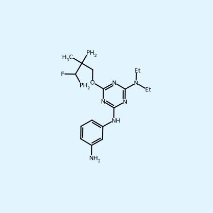 CCN(CC)c1nc(Nc2cccc(N)c2)nc(OCC(C)(P)C(F)P)n1